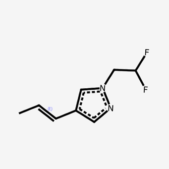 C/C=C/c1cnn(CC(F)F)c1